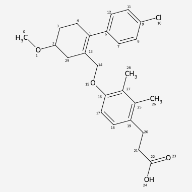 COC1CCC(c2ccc(Cl)cc2)=C(COc2ccc(CCC(=O)O)c(C)c2C)C1